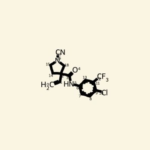 C=CC1(C(=O)Nc2ccc(Cl)c(C(F)(F)F)c2)CCN(C#N)C1